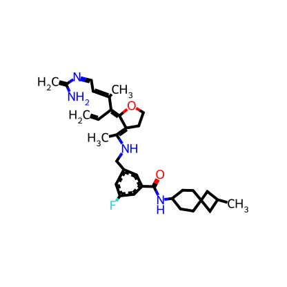 C=CC(=C1/OCC/C1=C(/C)NCc1cc(F)cc(C(=O)NC2CCC3(CC2)CC(C)C3)c1)/C(C)=C/C=N\C(=C)N